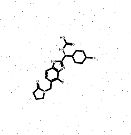 CC1CCC([C@H](NC(=O)O)c2nc3c(F)c(CN4CCCC4=O)ccc3[nH]2)CC1